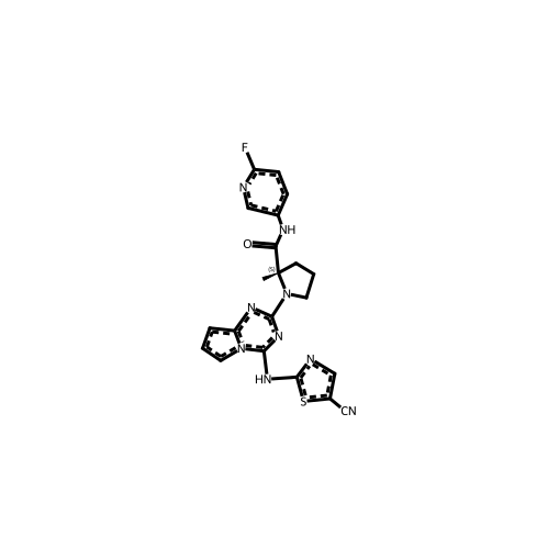 C[C@@]1(C(=O)Nc2ccc(F)nc2)CCCN1c1nc(Nc2ncc(C#N)s2)n2cccc2n1